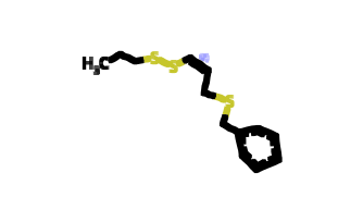 CCCSS/C=C\CSCc1ccccc1